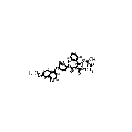 COc1ccc2c(Oc3ccc(NC(=O)c4c(-c5ccccc5)n(C[C@@H](C)O)n(C)c4=O)nc3)ccnc2c1